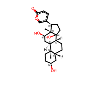 C[C@]12CC[C@H](O)C[C@H]1CC[C@@H]1[C@@H]2C[C@@H](O)[C@]2(C)[C@@H](c3ccc(=O)oc3)CC[C@]12O